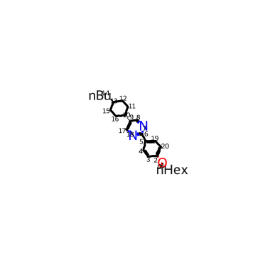 CCCCCCOc1ccc(-c2ncc([C@H]3CC[C@H](CCCC)CC3)cn2)cc1